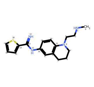 CNCCN1CCCc2cc(NC(=N)c3cccs3)ccc21